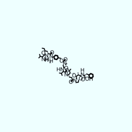 CCCC[C@H](NC(=O)[C@@H](N)C(C)C)C(=O)Nc1ccc(COC(=O)N(C)CC(=O)N[C@H](C(=O)N(C)[C@H](CCC(=O)N2CCC[C@H]2[C@H](OC)[C@@H](C)C(=O)N[C@@H](Cc2ccccc2)C(=O)O)[C@@H](C)CC)C(C)C)cc1